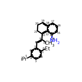 CCc1ccc(C(C)C)cc1/C=C(\C)C1=c2c(N)cccc2=CCC1